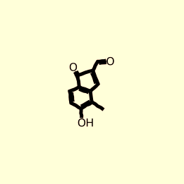 Cc1c(O)ccc2c1C=C(C=O)C2=O